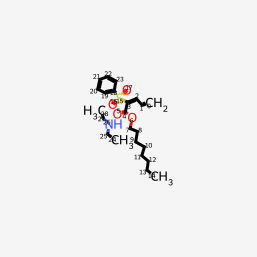 C=CC=C(C(=O)OCCCCCCCC)S(=O)(=O)c1ccccc1.CCNCC